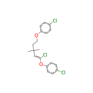 CC(C)(C=C(Cl)Oc1ccc(Cl)cc1)CCOc1ccc(Cl)cc1